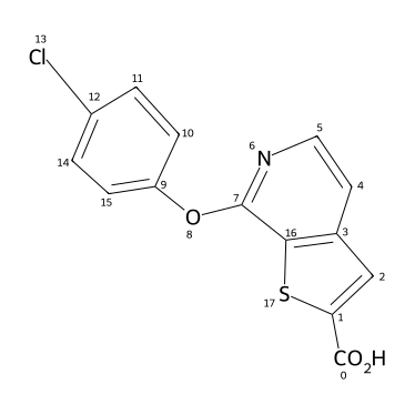 O=C(O)c1cc2ccnc(Oc3ccc(Cl)cc3)c2s1